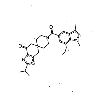 COc1cc(C(=O)N2CCC3(CC2)CC(=O)c2nc(C(C)C)sc2C3)cc2c(C)nn(C)c12